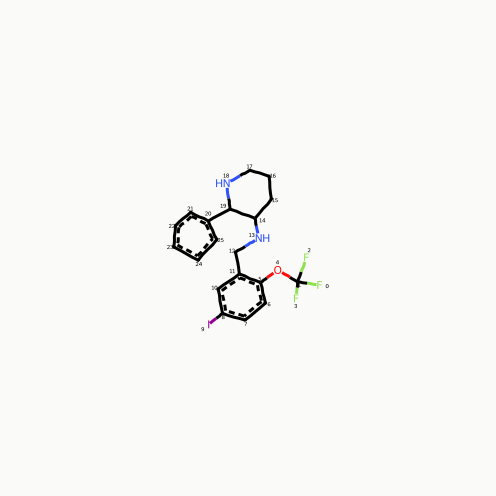 FC(F)(F)Oc1ccc(I)cc1CNC1CCCNC1c1ccccc1